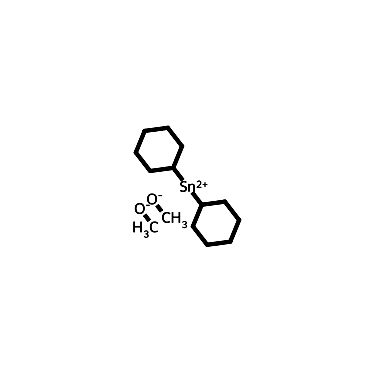 C1CC[CH]([Sn+2][CH]2CCCCC2)CC1.C[O-].C[O-]